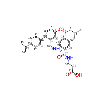 CC(C)CC(Oc1ccc(-c2ccc(C(C)C)cc2)c(CN)c1)c1ccc(C(=O)NCCC(=O)O)cc1